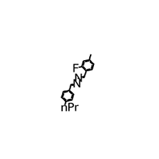 CCCc1ccc(/C=N/N=C/c2ccc(C)cc2F)cc1